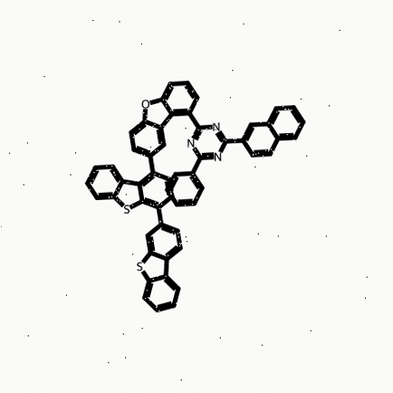 c1ccc(-c2nc(-c3ccc4ccccc4c3)nc(-c3cccc4oc5ccc(-c6ccc(-c7ccc8c(c7)sc7ccccc78)c7sc8ccccc8c67)cc5c34)n2)cc1